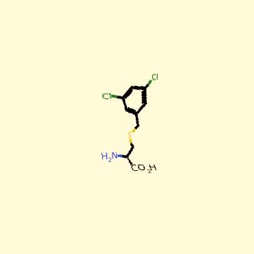 N[C@@H](CSCc1cc(Cl)cc(Cl)c1)C(=O)O